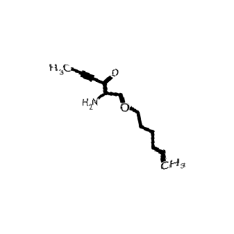 CC#CC(=O)C(N)COCCCCCC